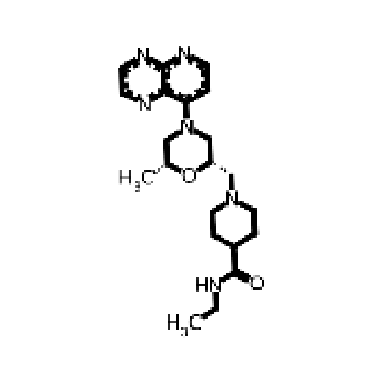 CCNC(=O)C1CCN(C[C@H]2CN(c3ccnc4nccnc34)C[C@@H](C)O2)CC1